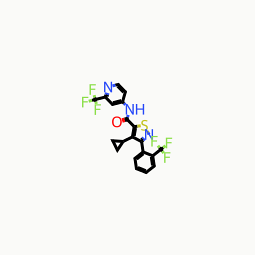 O=C(Nc1ccnc(C(F)(F)F)c1)c1snc(-c2ccccc2C(F)(F)F)c1C1CC1